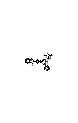 Cc1nc(C)n(-c2cc(N3CC(c4nc5ccccc5n4C)C3)nc(-n3cccn3)n2)n1